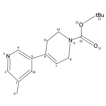 Cc1cncc(C2=CCN(C(=O)OC(C)(C)C)CC2)c1